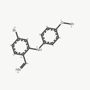 CC(C)Oc1ccc(Nc2cc(Br)ccc2C=N)cc1